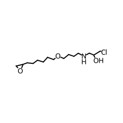 OC(CCl)CNCCCCOCCCCCCC1CO1